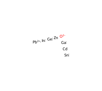 [Cd].[Ga].[Ge].[In].[O-2].[Pb+2].[Sn].[Zn]